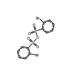 O=S(=O)(OS(=O)(=O)c1ccccc1Br)c1ccccc1Br